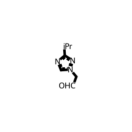 CC(C)c1ncn(CC=O)n1